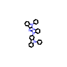 c1ccc(-n2c3ccccc3c3ccc(-n4c5ccccc5n5c4nc4c6ccccc6n(-c6ccccc6)c45)cc32)cc1